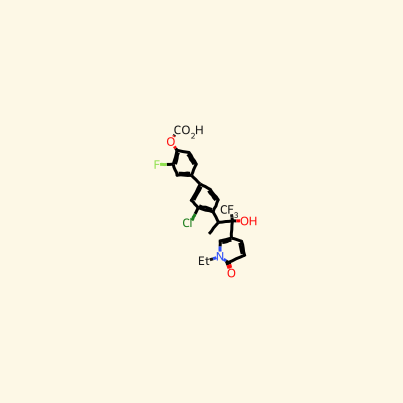 CCn1cc(C(O)(C(C)c2ccc(-c3ccc(OC(=O)O)c(F)c3)cc2Cl)C(F)(F)F)ccc1=O